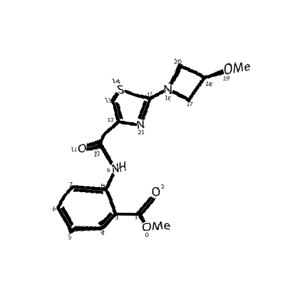 COC(=O)c1ccccc1NC(=O)c1csc(N2CC(OC)C2)n1